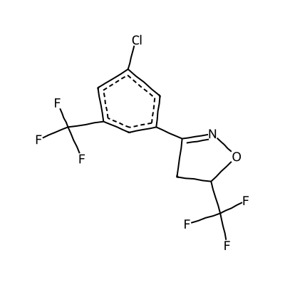 FC(F)(F)c1cc(Cl)cc(C2=NOC(C(F)(F)F)C2)c1